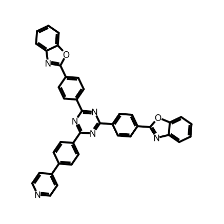 c1ccc2oc(-c3ccc(-c4nc(-c5ccc(-c6ccncc6)cc5)nc(-c5ccc(-c6nc7ccccc7o6)cc5)n4)cc3)nc2c1